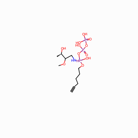 C#CCCCCO[PH](O)(NCC(OC)[C@@H](C)O)OP(=O)(O)OP(=O)(O)O